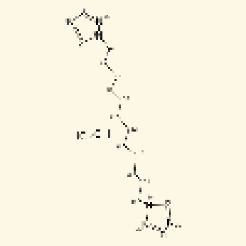 Cl.Cl.c1ncn(CCCCCCCCCCCCn2cncn2)n1